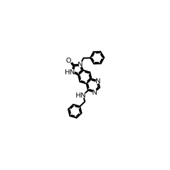 O=c1[nH]c2cc3c(NCc4ccccc4)ncnc3cc2n1Cc1ccccc1